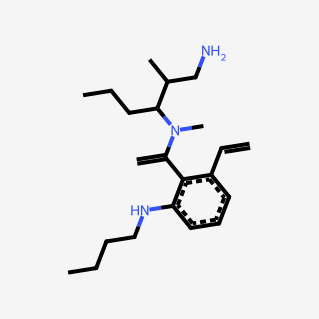 C=Cc1cccc(NCCCC)c1C(=C)N(C)C(CCC)C(C)CN